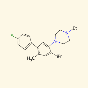 CCN1CCN(c2cc(-c3ccc(F)cc3)c(C)cc2C(C)C)CC1